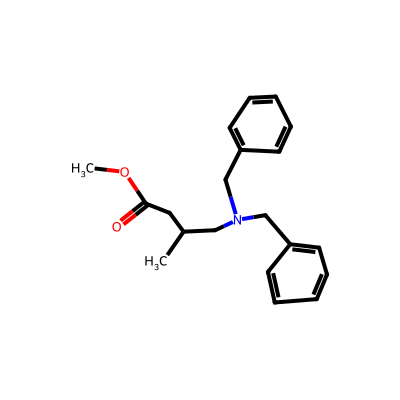 COC(=O)CC(C)CN(Cc1ccccc1)Cc1ccccc1